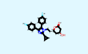 O=C1C[C@@H](O)C[C@H](CCn2c(C3CC3)nc(-c3ccc(F)cc3)c2-c2ccc(F)cc2)O1